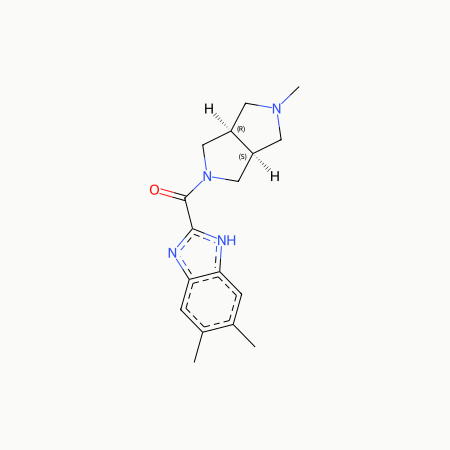 Cc1cc2nc(C(=O)N3C[C@H]4CN(C)C[C@H]4C3)[nH]c2cc1C